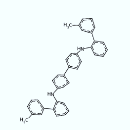 Cc1cccc(-c2ccccc2Nc2ccc(-c3ccc(Nc4ccccc4-c4cccc(C)c4)cc3)cc2)c1